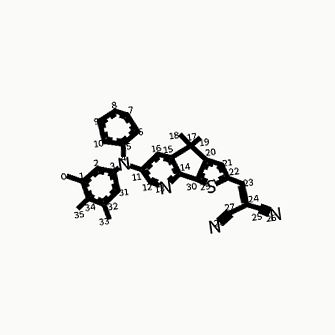 Cc1cc(N(c2ccccc2)c2cnc3c(c2)C(C)(C)c2cc(C=C(C#N)C#N)sc2-3)cc(C)c1C